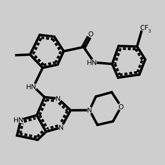 Cc1ccc(C(=O)Nc2cccc(C(F)(F)F)c2)cc1Nc1nc(N2CCOCC2)nc2cc[nH]c12